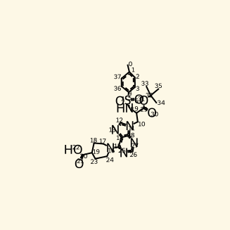 Cc1ccc(S(=O)(=O)NC(Cn2cnc3c(N4CCC(C(=O)O)CC4)ncnc32)C(=O)OC(C)(C)C)cc1